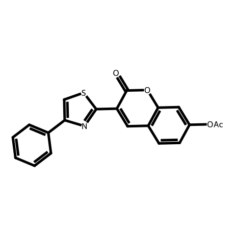 CC(=O)Oc1ccc2cc(-c3nc(-c4ccccc4)cs3)c(=O)oc2c1